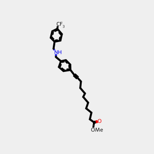 COC(=O)CCCCCCCCC#Cc1ccc(CNCc2ccc(C(F)(F)F)cc2)cc1